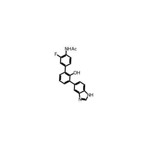 CC(=O)Nc1ccc(-c2cccc(-c3ccc4[nH]cnc4c3)c2O)cc1F